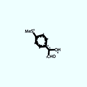 CSc1ccc(C(O)C=O)cc1